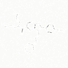 COc1ccc(-c2nc3ccc(C(=O)N(CCC(C)C)CCC(C)C)nc3n2CCCN2CCOCC2)cc1